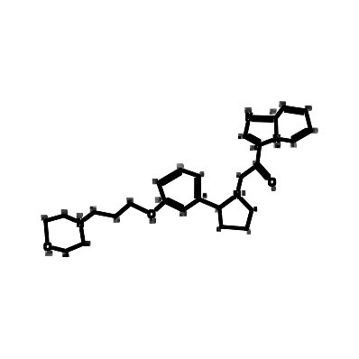 O=C(CN1CCCC1c1cccc(OCCCN2CCOCC2)c1)c1cnc2ccccn12